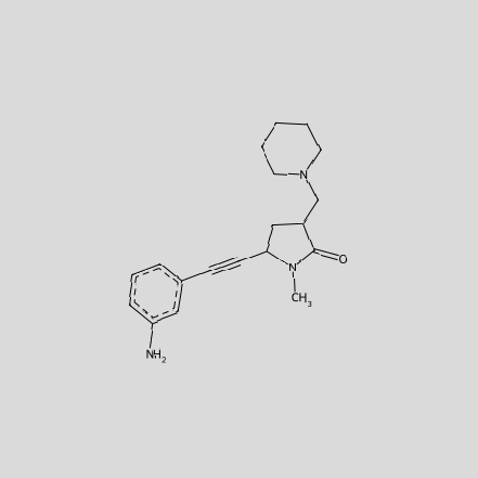 CN1C(=O)C(CN2CCCCC2)CC1C#Cc1cccc(N)c1